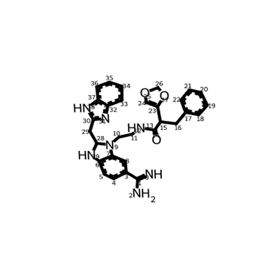 N=C(N)c1ccc2c(c1)N(CCNC(=O)C(Cc1ccccc1)C1=COCO1)C(Cc1nc3ccccc3[nH]1)N2